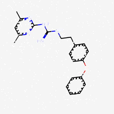 Cc1cc(C)nc(NC(=N)NCCc2ccc(Oc3ccccc3)cc2)n1